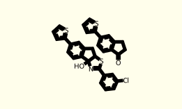 O=C1CCc2cc(-c3cccs3)ccc21.OC12N=C(c3cccc(Cl)c3)SC1Cc1cc(-c3cccs3)ccc12